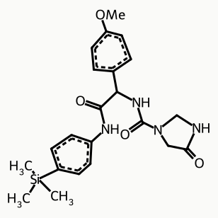 COc1ccc(C(NC(=O)N2CNC(=O)C2)C(=O)Nc2ccc([Si](C)(C)C)cc2)cc1